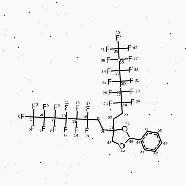 FC(F)(F)C(F)(F)C(F)(F)C(F)(F)C(F)(F)C(F)(F)CCC1(CCC(F)(F)C(F)(F)C(F)(F)C(F)(F)C(F)(F)C(F)(F)F)COC(c2ccccc2)O1